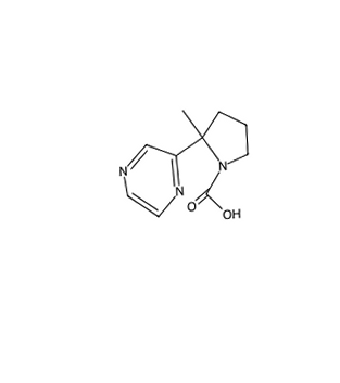 CC1(c2cnccn2)CCCN1C(=O)O